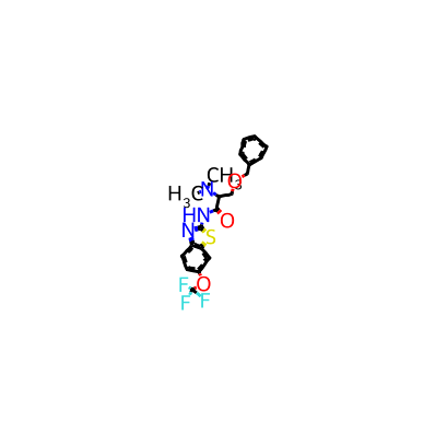 CN(C)C(COCc1ccccc1)C(=O)Nc1nc2ccc(OC(F)(F)F)cc2s1